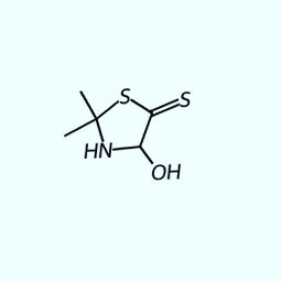 CC1(C)NC(O)C(=S)S1